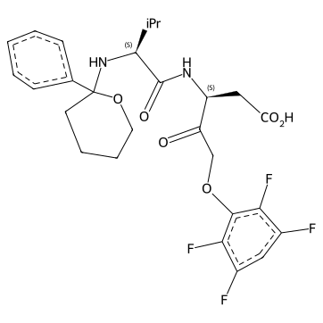 CC(C)[C@H](NC1(c2ccccc2)CCCCO1)C(=O)N[C@@H](CC(=O)O)C(=O)COc1c(F)c(F)cc(F)c1F